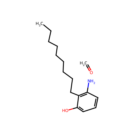 C=O.CCCCCCCCCc1c(N)cccc1O